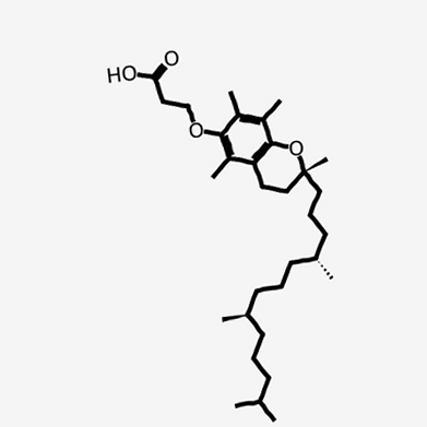 Cc1c(C)c2c(c(C)c1OCCC(=O)O)CC[C@@](C)(CCC[C@H](C)CCC[C@H](C)CCCC(C)C)O2